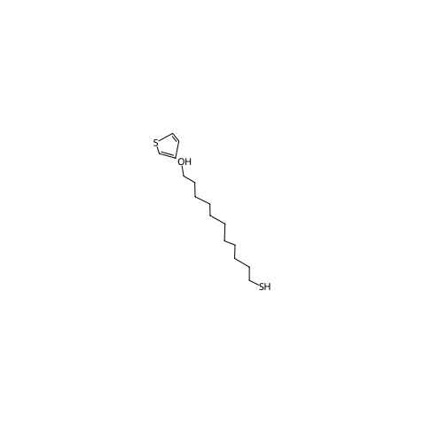 OCCCCCCCCCCCS.c1ccsc1